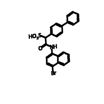 O=C(Nc1ccc(Br)c2ccccc12)C(c1ccc(-c2ccccc2)cc1)S(=O)(=O)O